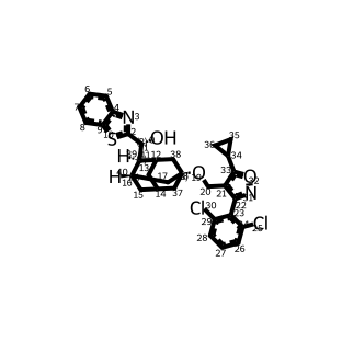 O[C@@H](c1nc2ccccc2s1)[C@H]1C2CC3C[C@H]1C[C@](OCc1c(-c4c(Cl)cccc4Cl)noc1C1CC1)(C3)C2